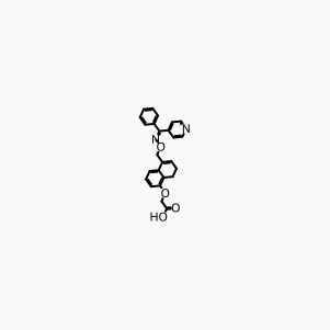 O=C(O)COc1cccc2c1CCC=C2CON=C(c1ccccc1)c1ccncc1